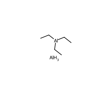 C[CH2][Al]([CH2]C)[CH2]C.[AlH3]